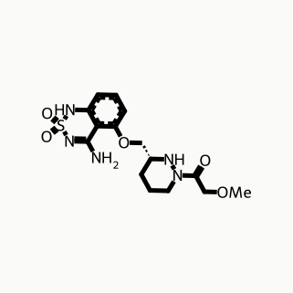 COCC(=O)N1CCC[C@H](COc2cccc3c2C(N)=NS(=O)(=O)N3)N1